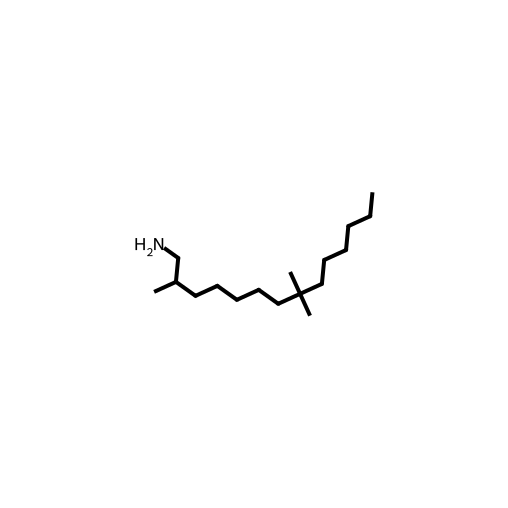 CCCCCCC(C)(C)CCCCCC(C)CN